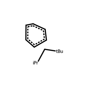 CC(C)CC(C)(C)C.c1ccccc1